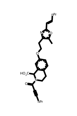 CCCC#CC(=O)N1CCc2ccc(OCCc3nc(C=CCCC)oc3C)cc2C1C(=O)O